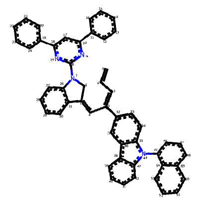 C=C/C=C(\C=C1/CN(c2nc(-c3ccccc3)cc(-c3ccccc3)n2)c2ccccc21)c1ccc2c(c1)c1ccccc1n2-c1cccc2ccccc12